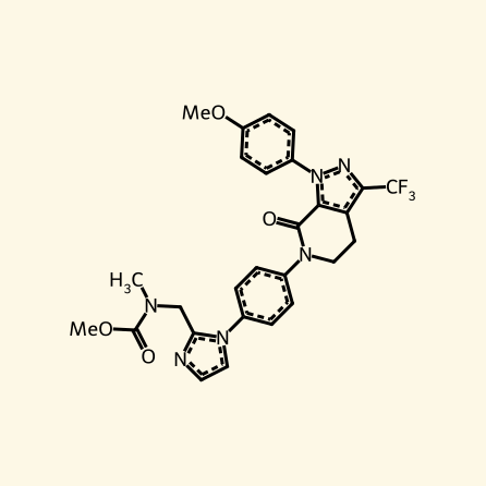 COC(=O)N(C)Cc1nccn1-c1ccc(N2CCc3c(C(F)(F)F)nn(-c4ccc(OC)cc4)c3C2=O)cc1